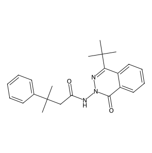 CC(C)(C)c1nn(NC(=O)CC(C)(C)c2ccccc2)c(=O)c2ccccc12